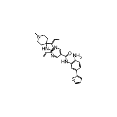 C=C/C=C\C(=C/C)C1(Nc2ncc(C(=O)Nc3cc(-c4cccs4)ccc3N)cn2)CCN(C)CC1